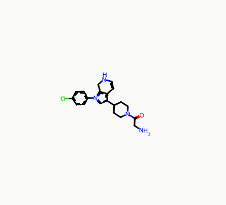 NCC(=O)N1CCC(c2cn(-c3ccc(Cl)cc3)c3c2C=CNC3)CC1